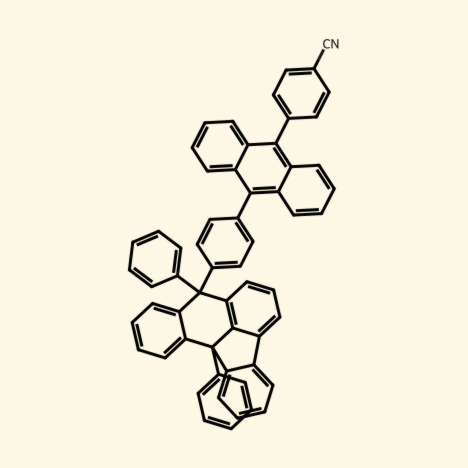 N#Cc1ccc(-c2c3ccccc3c(-c3ccc(C4(c5ccccc5)c5ccccc5C5(c6ccccc6)c6ccccc6-c6cccc4c65)cc3)c3ccccc23)cc1